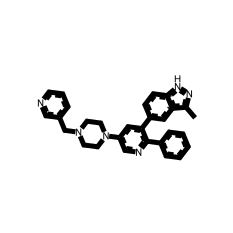 Cc1n[nH]c2ccc(-c3cc(N4CCN(Cc5cccnc5)CC4)cnc3-c3ccccc3)cc12